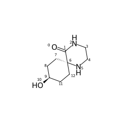 O=C1NCCN[C@]12CC[C@H](O)CC2